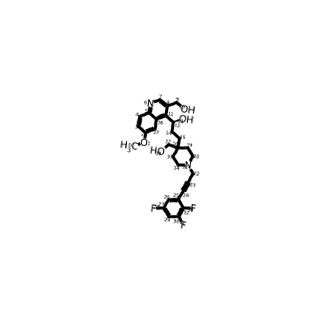 COc1ccc2ncc(CO)c([C@@H](O)CCC3(CO)CCN(CC#Cc4cc(F)cc(F)c4F)CC3)c2c1